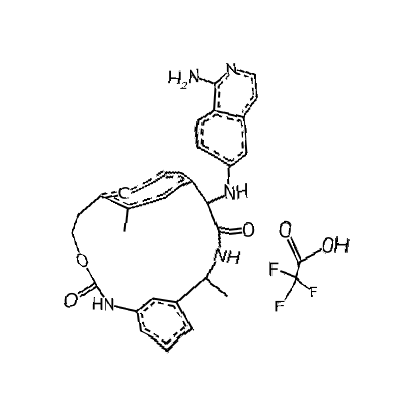 Cc1cc2ccc1CCOC(=O)Nc1cccc(c1)C(C)NC(=O)C2Nc1ccc2c(N)nccc2c1.O=C(O)C(F)(F)F